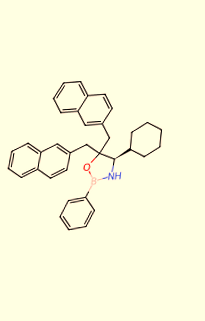 c1ccc(B2N[C@H](C3CCCCC3)C(Cc3ccc4ccccc4c3)(Cc3ccc4ccccc4c3)O2)cc1